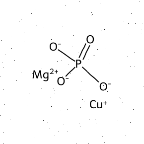 O=P([O-])([O-])[O-].[Cu+].[Mg+2]